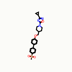 CS(=O)(=O)c1ccc(-c2ccc(OCC3CCN(c4nc(C5CC5)no4)CC3)cc2)cc1